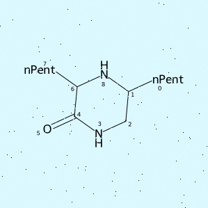 CCCCCC1CNC(=O)C(CCCCC)N1